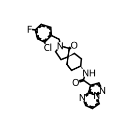 O=C(N[C@H]1CC[C@]2(CCN(Cc3ccc(F)cc3Cl)C2=O)CC1)c1cnn2cccnc12